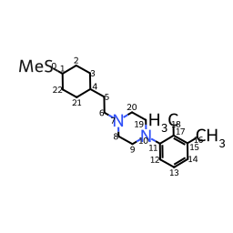 CSC1CCC(CCN2CCN(c3cccc(C)c3C)CC2)CC1